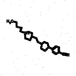 CCCCC[SiH]1CCC(CCC2CCC(c3ccc(C#N)cc3)CC2)CC1